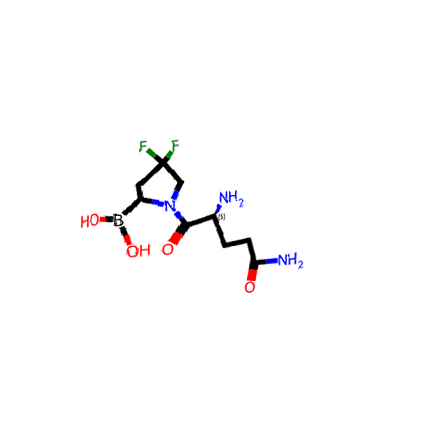 NC(=O)CC[C@H](N)C(=O)N1CC(F)(F)CC1B(O)O